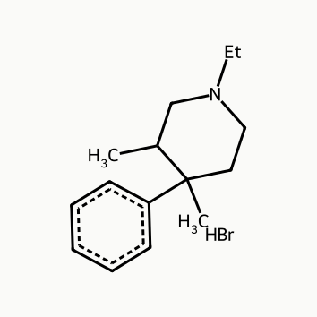 Br.CCN1CCC(C)(c2ccccc2)C(C)C1